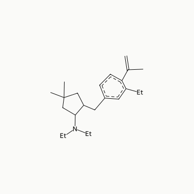 C=C(C)c1ccc(CC2CC(C)(C)CC2N(CC)CC)cc1CC